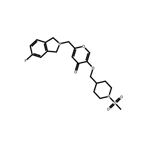 CS(=O)(=O)N1CCC(COc2coc(CN3Cc4ccc(F)cc4C3)cc2=O)CC1